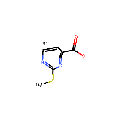 CSc1nccc(C(=O)[O-])n1.[K+]